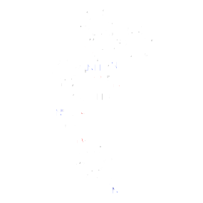 COC(=O)N[C@H](C(=O)Nc1ccccc1C[C@H]1CNC[C@@H](COc2ccc(C#N)cc2)O1)C(c1ccccc1)c1ccccc1